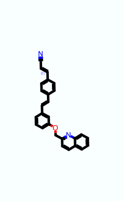 N#C/C=C/c1ccc(C=Cc2cccc(OCc3ccc4ccccc4n3)c2)cc1